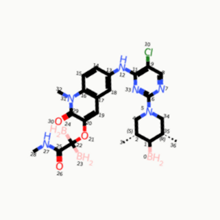 BC1[C@H](C)CN(c2ncc(Cl)c(Nc3ccc4c(c3)cc(OC(B)(B)C(=O)NC)c(=O)n4C)n2)C[C@@H]1C